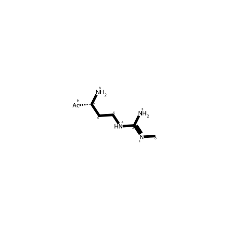 C/N=C(\N)NCC[C@@H](N)C(C)=O